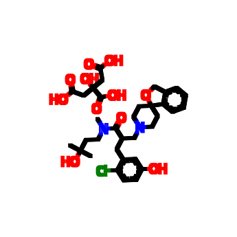 CN(CCC(C)(C)O)C(=O)C(Cc1cc(O)ccc1Cl)CN1CCC2(CC1)OCc1ccccc12.O=C(O)CC(O)(CC(=O)O)C(=O)O